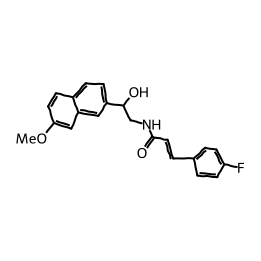 COc1ccc2ccc(C(O)CNC(=O)C=Cc3ccc(F)cc3)cc2c1